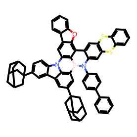 c1ccc(-c2ccc(N3B4c5c(cc6c(oc7ccccc76)c5-c5cc6c(cc53)Sc3ccccc3S6)-n3c5ccc(C67CC8CC(CC(C8)C6)C7)cc5c5cc(C67CC8CC(CC(C8)C6)C7)cc4c53)cc2)cc1